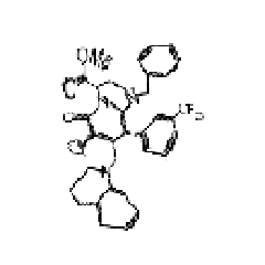 COC(=O)C1CN(Cc2ccccc2)c2c(-c3cccc(C(F)(F)F)c3)c(CN3CCCc4ccccc43)c(Cl)c(=O)n21